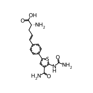 NC(=O)Nc1sc(-c2ccc(C=CC[C@@H](N)C(=O)O)cc2)cc1C(N)=O